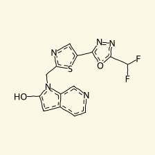 Oc1cc2ccncc2n1Cc1ncc(-c2nnc(C(F)F)o2)s1